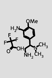 COc1ccc(C(CN)N(C)C)cc1N.O=C(O)C(F)(F)F